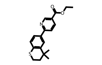 CCOC(=O)c1ccc(-c2ccc3c(c2)C(C)(C)CCS3)nc1